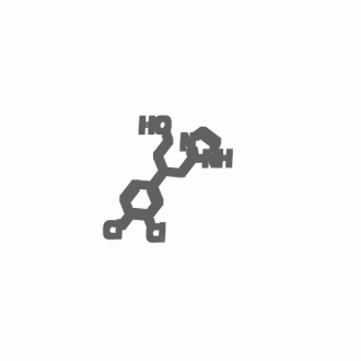 OCCC(Cc1ncc[nH]1)c1ccc(Cl)c(Cl)c1